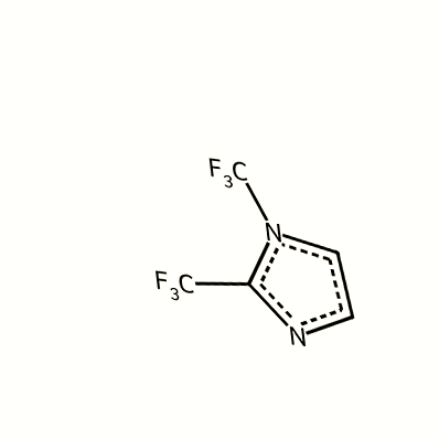 FC(F)(F)c1nccn1C(F)(F)F